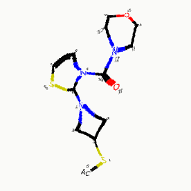 CC(=O)SC1CN(C2SC=CN2C(=O)N2CCOCC2)C1